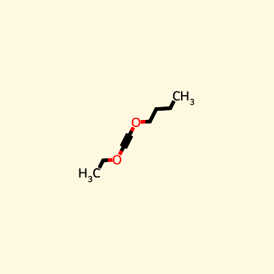 CCCCOC#COCC